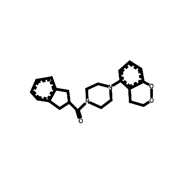 O=C(C1Cc2ccccc2C1)N1CCN(c2cccc3c2CCOO3)CC1